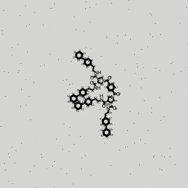 O=C(NCCc1ccc(-c2ccccc2)cc1)[C@H]1CN(C(=O)c2ccc(C(=O)N3C[C@H](C(=O)NCCc4ccc(-c5ccccc5)cc4)[C@@H](C(=O)NCCc4ccc(-c5ccccc5)cc4)C3)cc2)C[C@@H]1C(=O)NCCc1ccc(-c2ccccc2)cc1